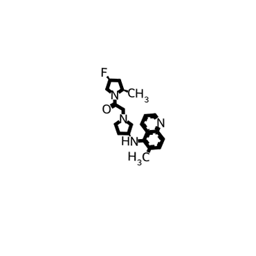 Cc1ccc2ncccc2c1N[C@@H]1CCN(CC(=O)N2C[C@@H](F)C[C@H]2C)C1